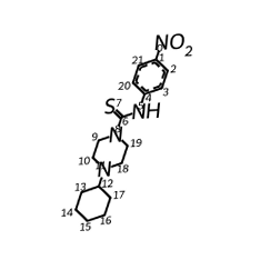 O=[N+]([O-])c1ccc(NC(=S)N2CCN(C3CCCCC3)CC2)cc1